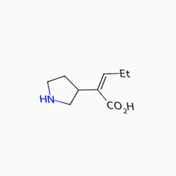 CCC=C(C(=O)O)C1CCNC1